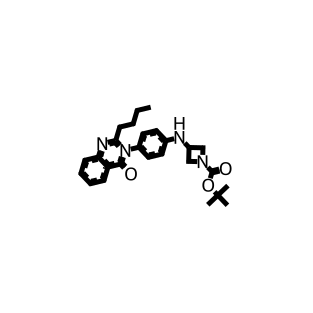 CCCCc1nc2ccccc2c(=O)n1-c1ccc(NC2CN(C(=O)OC(C)(C)C)C2)cc1